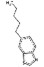 CCCCCc1ccc2ncsc2c1